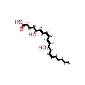 CCCCC/C=C\C[C@H](O)/C=C/C=C\C=C\[C@@H](O)CCCC(=O)O